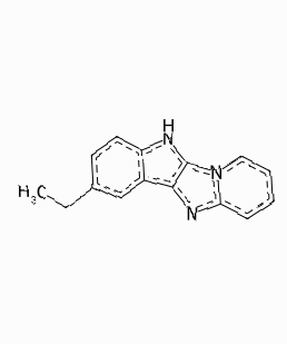 CCc1ccc2[nH]c3c(nc4ccccn43)c2c1